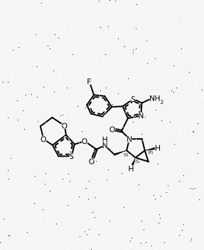 Nc1nc(C(=O)N2C[C@@H]3C[C@@H]3[C@H]2CNC(=O)Oc2scc3c2OCCO3)c(-c2cccc(F)c2)s1